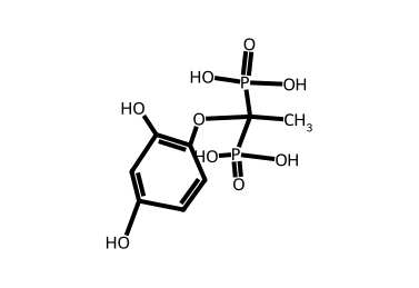 CC(Oc1ccc(O)cc1O)(P(=O)(O)O)P(=O)(O)O